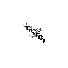 C[C@@H]1CN(c2ncc(C(F)(F)F)cn2)C[C@H](C)N1C(=O)NC1CCN(CC#N)CC1